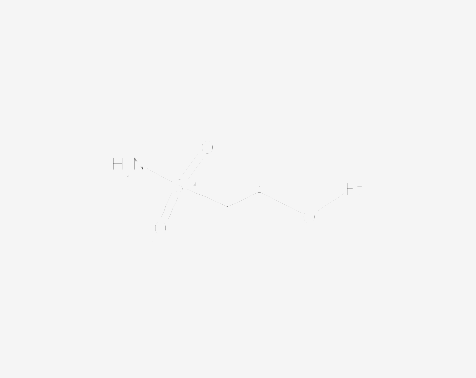 CCOCCS(N)(=O)=O